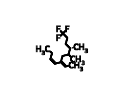 C/C=C(/C=C\CC)CC(C)[C@@H](C)CCC(F)(F)F